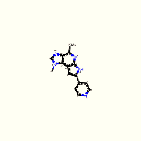 CNc1nc2[nH]c(-c3ccncc3)cc2c2c1ncn2C